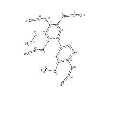 COc1cc(-c2cc(N=C=O)c(N=C=O)c(OC)c2N=C=O)ccc1N=C=O